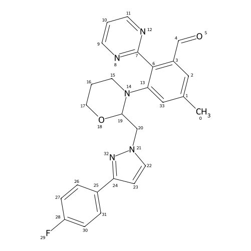 Cc1cc(C=O)c(-c2ncccn2)c(N2CCCOC2Cn2ccc(-c3ccc(F)cc3)n2)c1